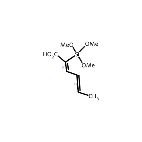 C/C=C/C=C(/C(=O)O)[Si](OC)(OC)OC